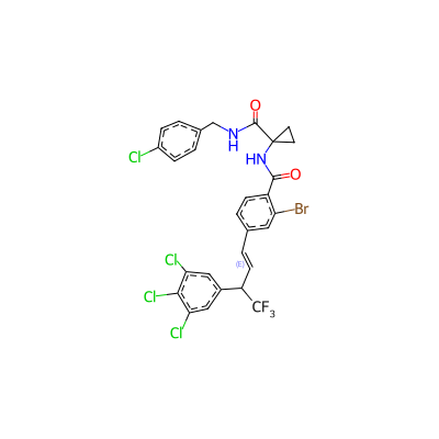 O=C(NC1(C(=O)NCc2ccc(Cl)cc2)CC1)c1ccc(/C=C/C(c2cc(Cl)c(Cl)c(Cl)c2)C(F)(F)F)cc1Br